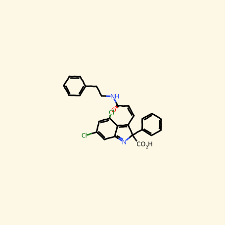 O=C(/C=C\C1=c2c(Cl)cc(Cl)cc2=NC1(C(=O)O)c1ccccc1)NCCc1ccccc1